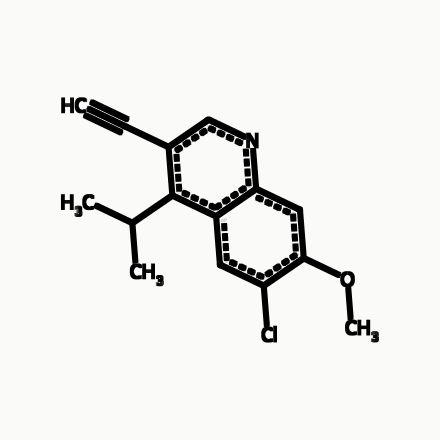 C#Cc1cnc2cc(OC)c(Cl)cc2c1C(C)C